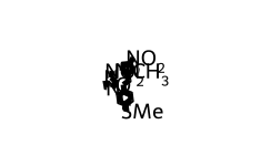 CSc1ccc(OCc2ncc([N+](=O)[O-])n2C)cc1.O=[N+]([O-])n1ccnc1